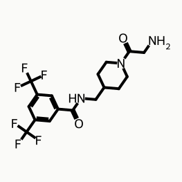 NCC(=O)N1CCC(CNC(=O)c2cc(C(F)(F)F)cc(C(F)(F)F)c2)CC1